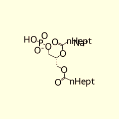 CCCCCCCC(=O)OC[C@H](COP(=O)([O-])O)OC(=O)CCCCCCC.[Na+]